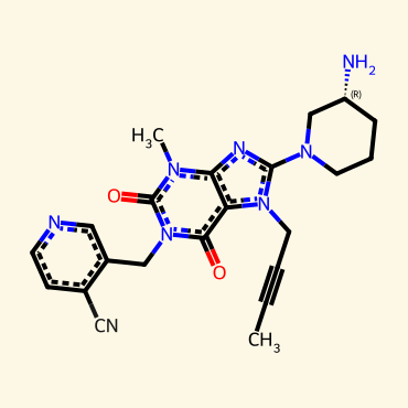 CC#CCn1c(N2CCC[C@@H](N)C2)nc2c1c(=O)n(Cc1cnccc1C#N)c(=O)n2C